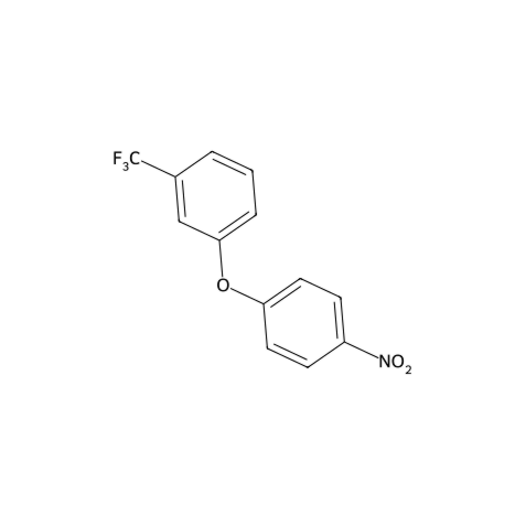 O=[N+]([O-])c1ccc(Oc2cccc(C(F)(F)F)c2)cc1